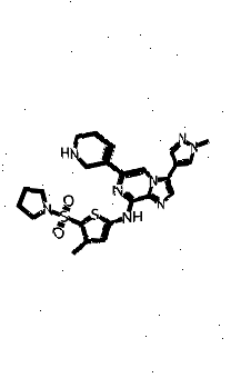 CC1C=C(Nc2nc(C3=CCCNC3)cn3c(-c4cnn(C)c4)cnc23)SC1S(=O)(=O)N1CCCC1